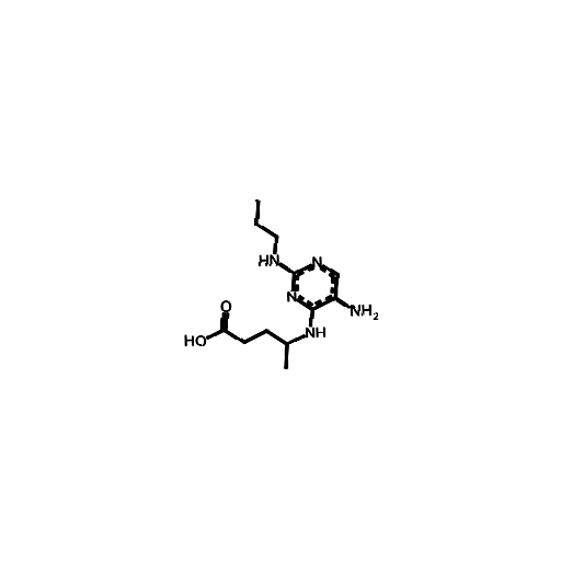 CCCNc1ncc(N)c(NC(C)CCC(=O)O)n1